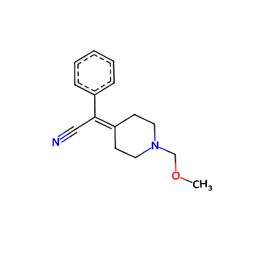 COCN1CCC(=C(C#N)c2ccccc2)CC1